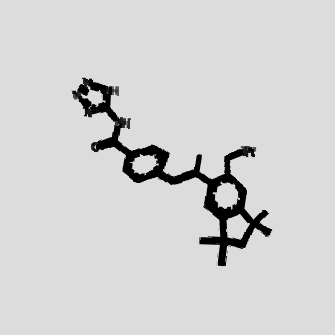 C/C(=C\c1ccc(C(=O)Nc2nnn[nH]2)cc1)c1cc2c(cc1CC(C)C)C(C)(C)CC2(C)C